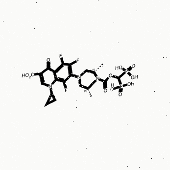 C[C@@H]1CN(c2c(F)c(F)c3c(=O)c(C(=O)O)cn(C4CC4)c3c2F)C[C@H](C)N1C(=O)OC(P(=O)(O)O)P(=O)(O)O